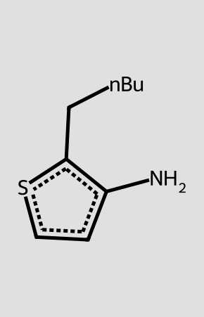 CCCCCc1sccc1N